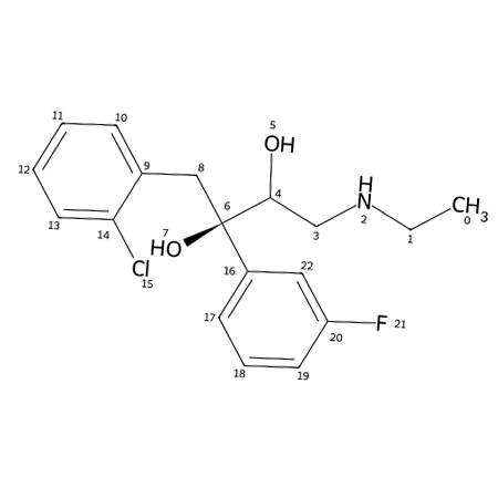 CCNCC(O)[C@@](O)(Cc1ccccc1Cl)c1cccc(F)c1